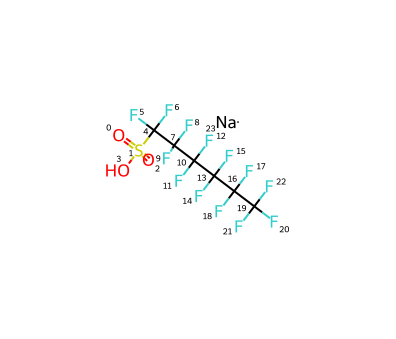 O=S(=O)(O)C(F)(F)C(F)(F)C(F)(F)C(F)(F)C(F)(F)C(F)(F)F.[Na]